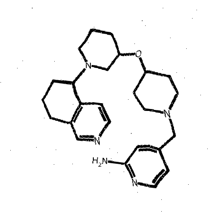 Nc1cc(CN2CCC(OC3CCCN(C4CCCc5cnccc54)C3)CC2)ccn1